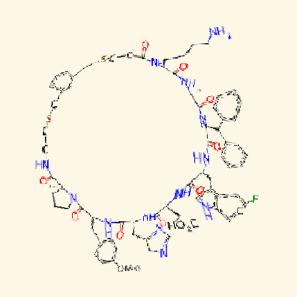 COc1ccc(C[C@@H]2NC(=O)[C@H](CC3=NC=NC3)NC(=O)[C@H](CC(=O)O)NC(=O)[C@H](Cc3c[nH]c4ccc(F)cc34)NC(=O)[C@H](C(c3ccccc3)c3ccccc3)NC(=O)[C@@H](C)NC(=O)[C@H](CCCCN)NC(=O)CCSCc3cccc(c3)CSCCNC(=O)[C@]3(C)CCCN3C2=O)cc1